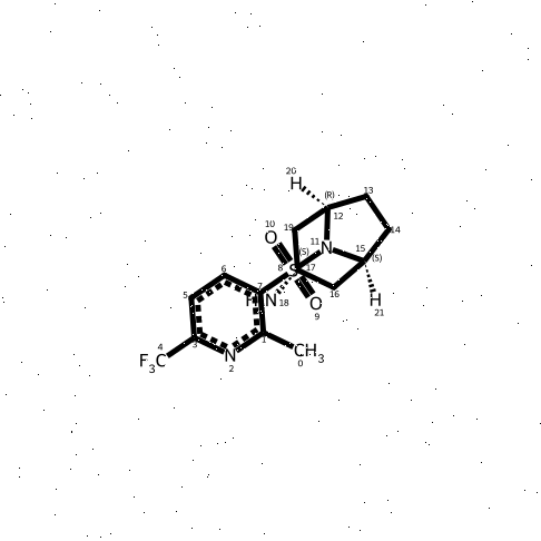 Cc1nc(C(F)(F)F)ccc1S(=O)(=O)N1[C@@H]2CC[C@H]1C[C@H](N)C2